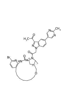 CC(=O)c1nn(CC(=O)N2C3C[C@@]34COCCCCCCCc3ccc(Br)nc3NC(=O)[C@@H]2C4)c2ccc(-c3cnc(C)nc3)cc12